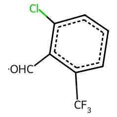 O=[C]c1c(Cl)cccc1C(F)(F)F